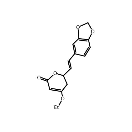 CCOC1=CC(=O)OC(/C=C/c2ccc3c(c2)OCO3)C1